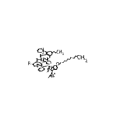 C=CCCCCCCCCCOc1ccc2c(C(C)=O)nn(CC(=O)N3C[C@H](F)C[C@H]3C(=O)NCc3cc(C=CC)cc(Cl)c3F)c2c1